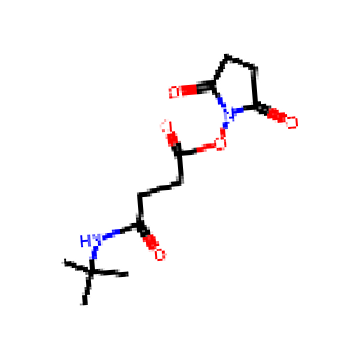 CC(C)(C)NC(=O)CCC(=O)ON1C(=O)CCC1=O